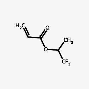 C=CC(=O)OC(C)C(F)(F)F